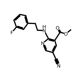 COC(=O)c1cc(C#N)cnc1NCCc1cccc(F)c1